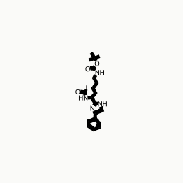 CC(C)(C)OC(=O)NCCCCC(NC(=O)I)c1nc(-c2ccccc2)c[nH]1